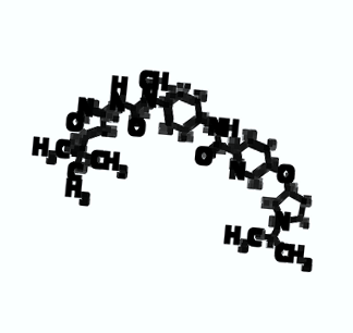 CC(C)N1CCC(Oc2ccc(C(=O)Nc3ccc(N(C)C(=O)Nc4cc(C(C)(C)C)on4)cc3)nc2)C1